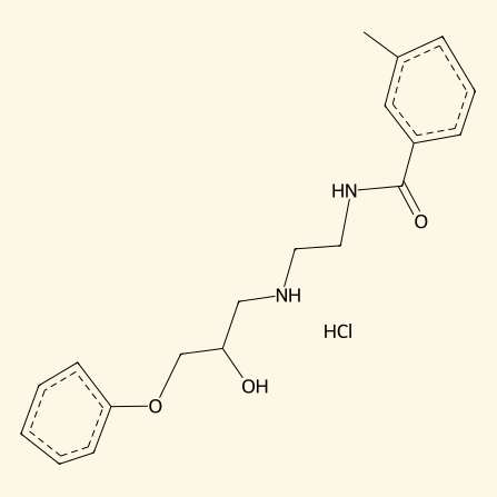 Cc1cccc(C(=O)NCCNCC(O)COc2ccccc2)c1.Cl